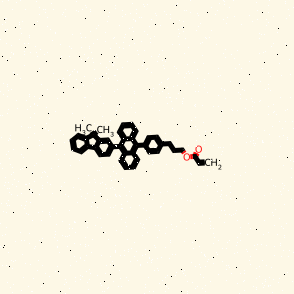 C=CC(=O)OCCCc1ccc(-c2c3ccccc3c(-c3ccc4c(c3)C(C)(C)c3ccccc3-4)c3ccccc23)cc1